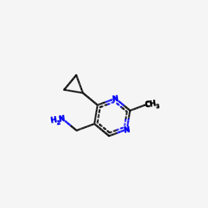 Cc1ncc(CN)c(C2CC2)n1